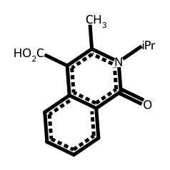 Cc1c(C(=O)O)c2ccccc2c(=O)n1C(C)C